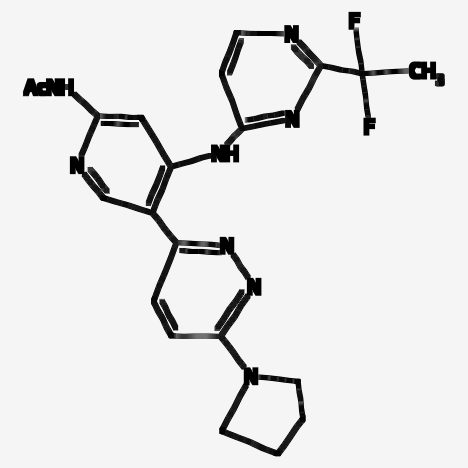 CC(=O)Nc1cc(Nc2ccnc(C(C)(F)F)n2)c(-c2ccc(N3CCCC3)nn2)cn1